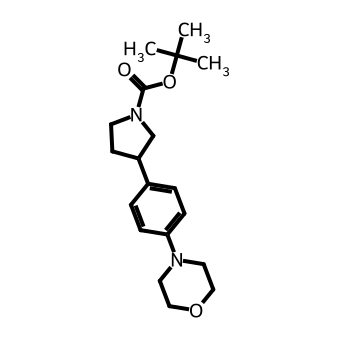 CC(C)(C)OC(=O)N1CCC(c2ccc(N3CCOCC3)cc2)C1